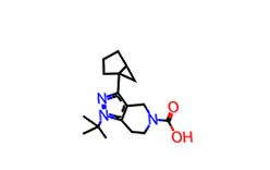 CC(C)(C)n1nc(C23CCCC2C3)c2c1CCN(C(=O)O)C2